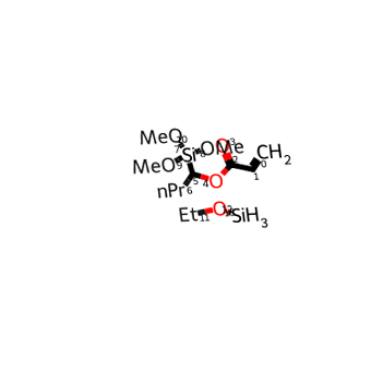 C=CC(=O)OC(CCC)[Si](OC)(OC)OC.CCO[SiH3]